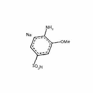 COc1cc(S(=O)(=O)O)ccc1N.[Na]